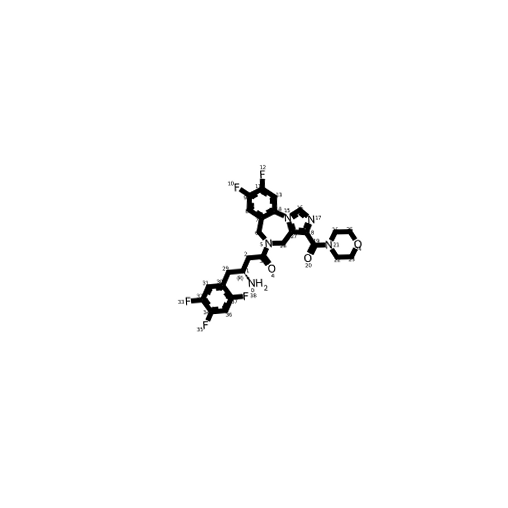 N[C@@H](CC(=O)N1Cc2cc(F)c(F)cc2-n2cnc(C(=O)N3CCOCC3)c2C1)Cc1cc(F)c(F)cc1F